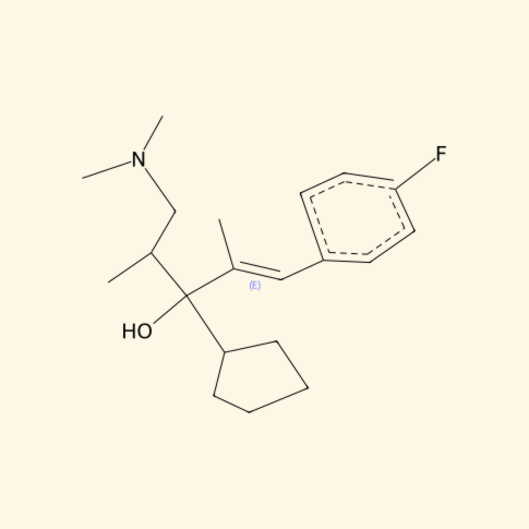 C/C(=C\c1ccc(F)cc1)C(O)(C(C)CN(C)C)C1CCCC1